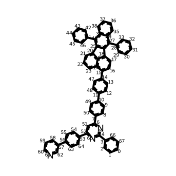 c1ccc(-c2nc(-c3ccc(-c4ccc(-c5ccc6c7c(cccc57)-c5c-6c(-c6ccccc6)c6ccccc6c5-c5ccccc5)cc4)cc3)cc(-c3ccc(-c4cccnc4)cc3)n2)cc1